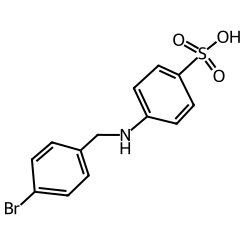 O=S(=O)(O)c1ccc(NCc2ccc(Br)cc2)cc1